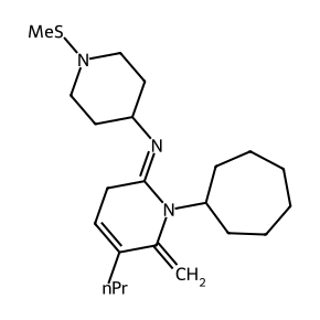 C=C1C(CCC)=CC/C(=N\C2CCN(SC)CC2)N1C1CCCCCC1